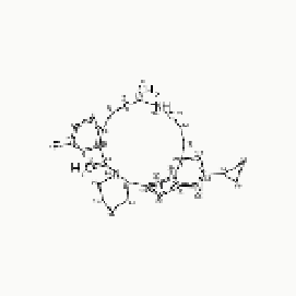 C=C1CCc2ccc(F)cc2C(=C)N2CCCCC2c2cc3nc(C4CC4)cc(n3n2)CCCN1